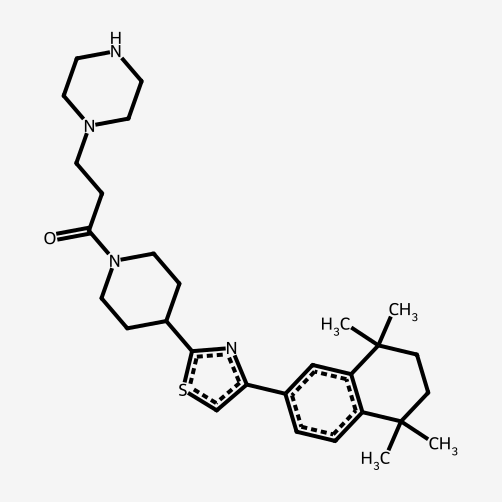 CC1(C)CCC(C)(C)c2cc(-c3csc(C4CCN(C(=O)CCN5CCNCC5)CC4)n3)ccc21